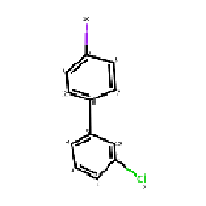 Clc1cccc(-c2c[c]c(I)cc2)c1